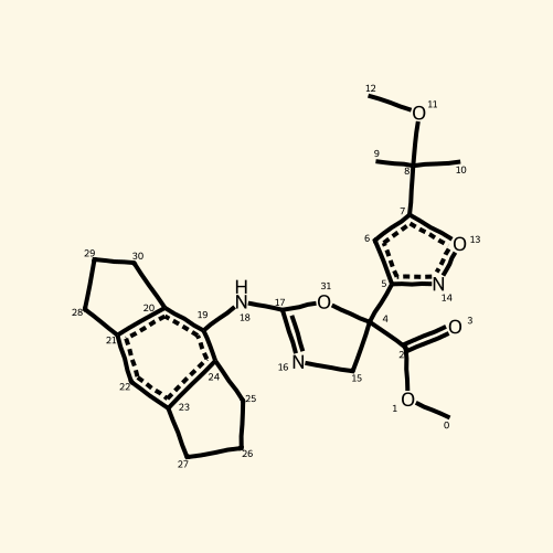 COC(=O)C1(c2cc(C(C)(C)OC)on2)CN=C(Nc2c3c(cc4c2CCC4)CCC3)O1